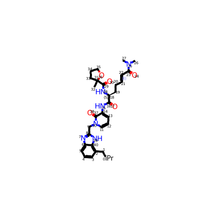 CC(C)Cc1cccc2nc(Cn3cccc(NC(=O)[C@H](CC/C=C/C(=O)N(C)C)NC(=O)C4(C)CCCO4)c3=O)[nH]c12